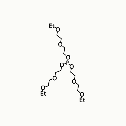 CCOCCOCCOP(OCCOCCOCC)OCCOCCOCC